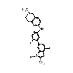 Cc1nc2c(F)cc(-c3nc(Nc4ccc5c(n4)CCN(C)C5)ncc3F)cc2n1C(C)C